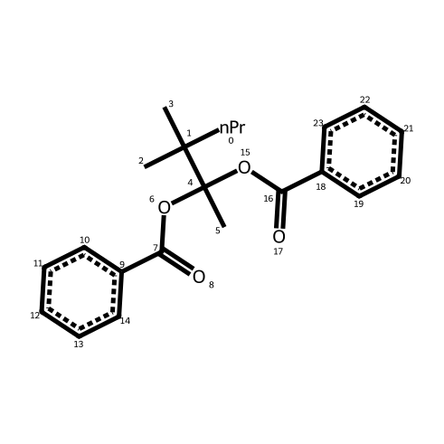 CCCC(C)(C)C(C)(OC(=O)c1ccccc1)OC(=O)c1ccccc1